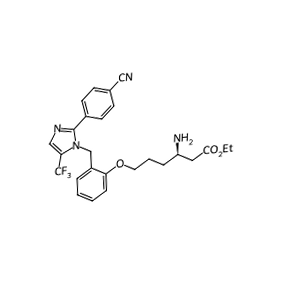 CCOC(=O)C[C@H](N)CCCOc1ccccc1Cn1c(C(F)(F)F)cnc1-c1ccc(C#N)cc1